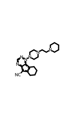 N#Cc1c2ncnn(N3CCN(CCN4CCCCC4)CC3)c-2c2c1CCCC2